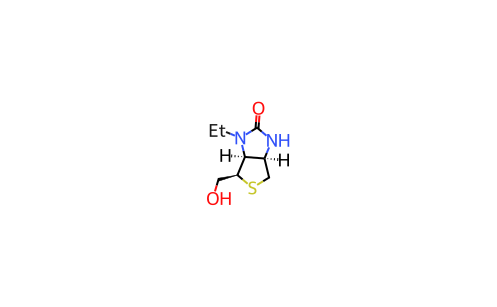 CCN1C(=O)N[C@H]2CS[C@@H](CO)[C@H]21